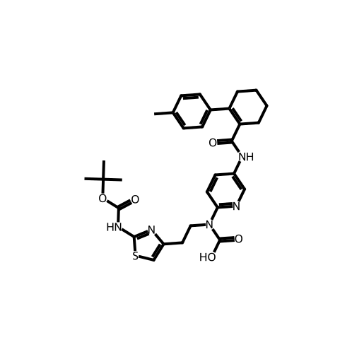 Cc1ccc(C2=C(C(=O)Nc3ccc(N(CCc4csc(NC(=O)OC(C)(C)C)n4)C(=O)O)nc3)CCCC2)cc1